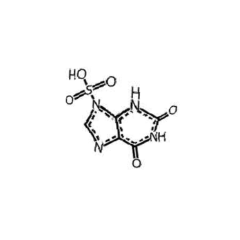 O=c1[nH]c(=O)c2ncn(S(=O)(=O)O)c2[nH]1